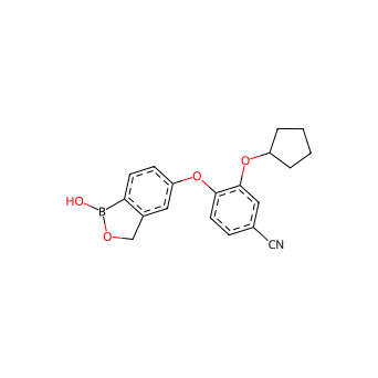 N#Cc1ccc(Oc2ccc3c(c2)COB3O)c(OC2CCCC2)c1